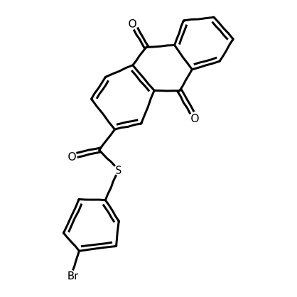 O=C(Sc1ccc(Br)cc1)c1ccc2c(c1)C(=O)c1ccccc1C2=O